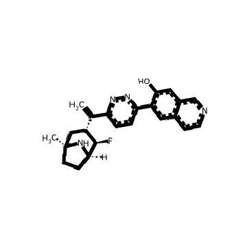 C=C(c1ccc(-c2cc3ccncc3cc2O)nn1)[C@H]1C[C@]2(C)CC[C@@H](N2)[C@@H]1F